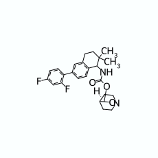 CC1(C)CCc2cc(-c3ccc(F)cc3F)ccc2C1NC(=O)O[C@H]1CN2CCC1CC2